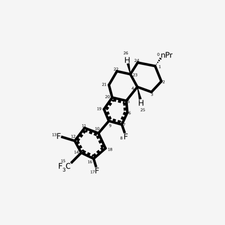 CCC[C@@H]1CC[C@@H]2c3cc(F)c(-c4cc(F)c(C(F)(F)F)c(F)c4)cc3CC[C@@H]2C1